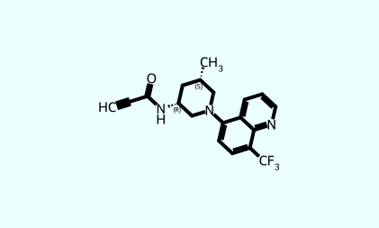 C#CC(=O)N[C@@H]1C[C@H](C)CN(c2ccc(C(F)(F)F)c3ncccc23)C1